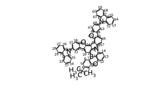 CC(C)(C)c1ccc2c(c1)Oc1cccc3c1B2c1cc2c4cc(-n5c6ccccc6c6ccccc65)ccc4oc2c2c4c5oc6ccc(-n7c8ccccc8c8ccccc87)cc6c5ccc4n-3c12